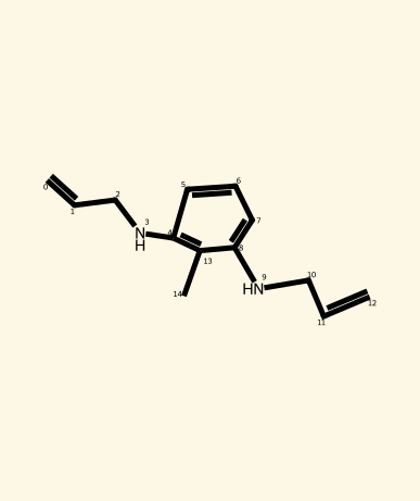 C=CCNc1cccc(NCC=C)c1C